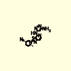 C[C@@H]1CC[C@H](C#N)CN1c1nc2ccnc(Nc3cc(N)ncn3)c2s1